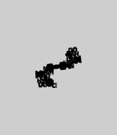 COC(=O)N[C@H](C(=O)N1CC2(CC2)C[C@H]1c1ncc(-c2ccc(C#Cc3ccc4nc([C@@H]5CC6(CC6)CN5C(=O)[C@H](NC(=O)OC)c5ccc(Cl)cc5)[nH]c4c3)cc2)[nH]1)C(C)C